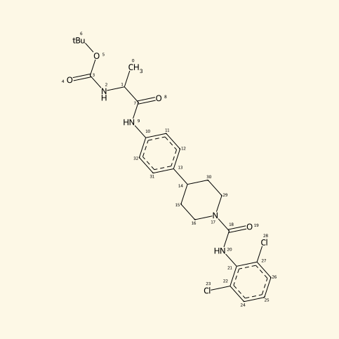 CC(NC(=O)OC(C)(C)C)C(=O)Nc1ccc(C2CCN(C(=O)Nc3c(Cl)cccc3Cl)CC2)cc1